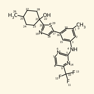 Cc1cc(Nc2nccc(C(F)(F)F)n2)cc(-c2cnc(C3(O)CCC(C)CC3)s2)c1